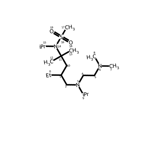 CCC(CN(CCN(C)C)C(C)C)CC(C)(C)N(C(C)C)S(C)(=O)=O